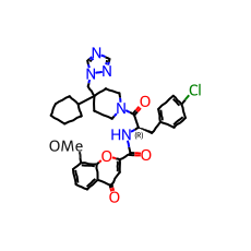 COc1cccc2c(=O)cc(C(=O)N[C@H](Cc3ccc(Cl)cc3)C(=O)N3CCC(Cn4cncn4)(C4CCCCC4)CC3)oc12